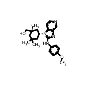 CC1(C)C[C@@H](n2c(Nc3ccc(OC(F)(F)F)cc3)nc3cnccc32)C[C@@](C)(CO)C1